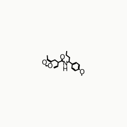 C=CC(CC1=C(C)OCO1)C(=O)NC(CCC)c1ccc(OC)cc1